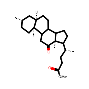 COC(=O)CC[C@@H](C)C1CCC2C3CC[C@@H]4C[C@@H](C)CC[C@]4(C)C3CC(=O)[C@@]21C